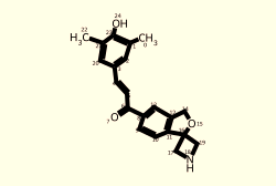 Cc1cc(C=CC(=O)c2ccc3c(c2)COC32CNC2)cc(C)c1O